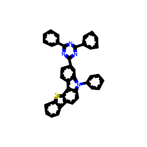 c1ccc(-c2nc(-c3ccccc3)nc(-c3ccc4c5c6sc7ccccc7c6ccc5n(-c5ccccc5)c4c3)n2)cc1